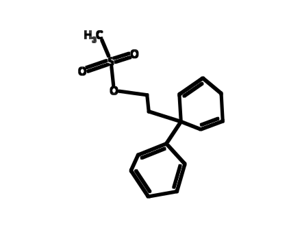 CS(=O)(=O)OCCC1(c2ccccc2)C=CCC=C1